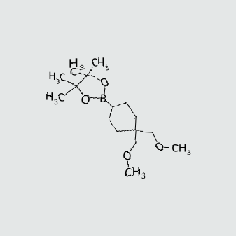 COCC1(COC)CCC(B2OC(C)(C)C(C)(C)O2)CC1